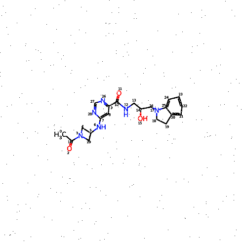 CC(=O)N1CC(Nc2cc(C(=O)NC[C@H](O)CN3CCc4ccccc43)ncn2)C1